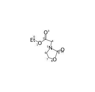 CCOC(=O)CN1CCOC1=O